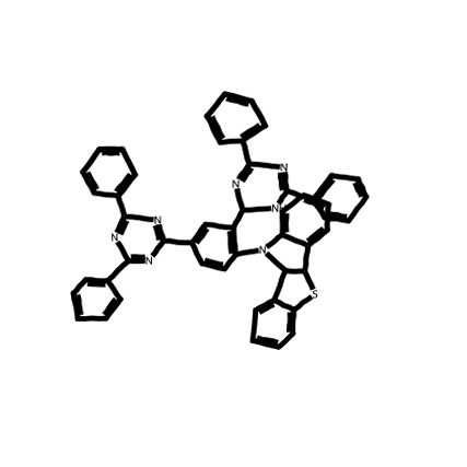 c1ccc(C2=NC(c3cc(-c4nc(-c5ccccc5)nc(-c5ccccc5)n4)ccc3N3c4ccccc4C4Sc5ccccc5C43)NC(c3ccccc3)=N2)cc1